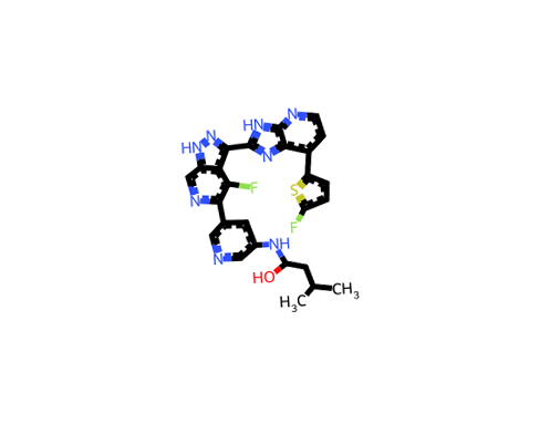 CC(C)CC(O)Nc1cncc(-c2ncc3[nH]nc(-c4nc5c(-c6ccc(F)s6)ccnc5[nH]4)c3c2F)c1